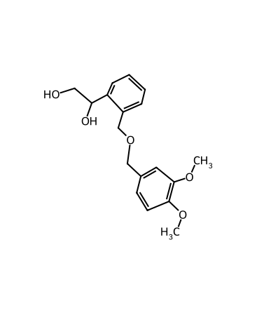 COc1ccc(COCc2ccccc2C(O)CO)cc1OC